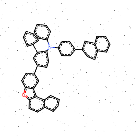 c1ccc(-c2cc(-c3ccc4oc5ccc6ccccc6c5c4c3)ccc2N(c2ccccc2)c2ccc(-c3ccc4ccccc4c3)cc2)cc1